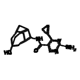 Nc1ncc(C(=O)NC2C3CC4CC2CC(O)(C4)C3)c(C2CC2)n1